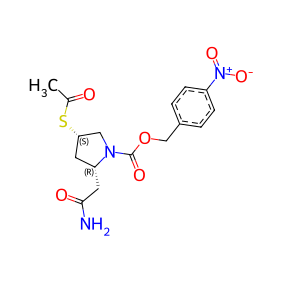 CC(=O)S[C@H]1C[C@@H](CC(N)=O)N(C(=O)OCc2ccc([N+](=O)[O-])cc2)C1